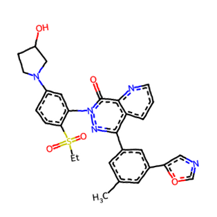 CCS(=O)(=O)c1ccc(N2CCC(O)C2)cc1-n1nc(-c2cc(C)cc(-c3cnco3)c2)c2cccnc2c1=O